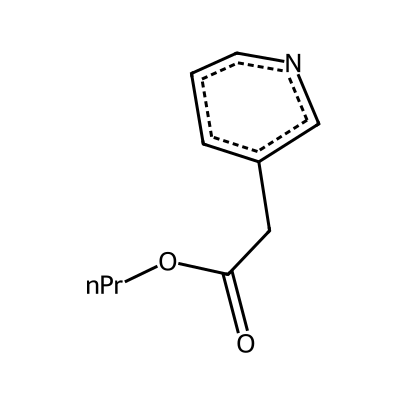 CCCOC(=O)Cc1cccnc1